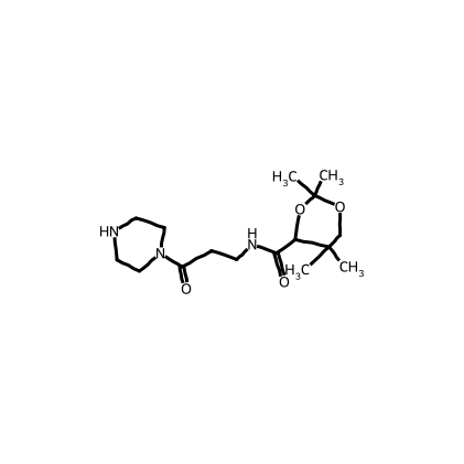 CC1(C)OCC(C)(C)C(C(=O)NCCC(=O)N2CCNCC2)O1